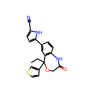 CCC1(c2ccsc2)OCC(=O)Nc2ccc(-c3ccc(C#N)[nH]3)cc21